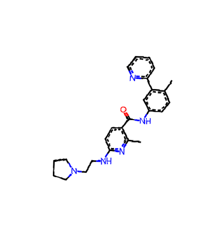 Cc1ccc(NC(=O)c2ccc(NCCN3CCCC3)nc2C)cc1-c1ccccn1